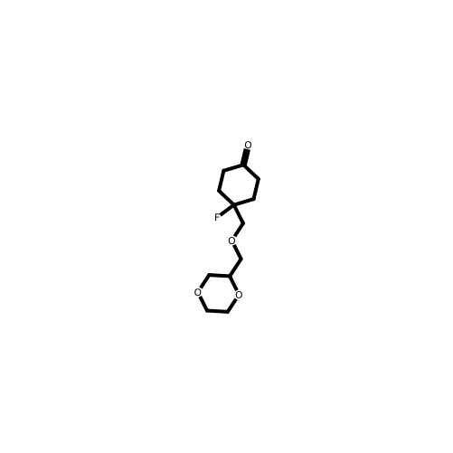 O=C1CCC(F)(COCC2COCCO2)CC1